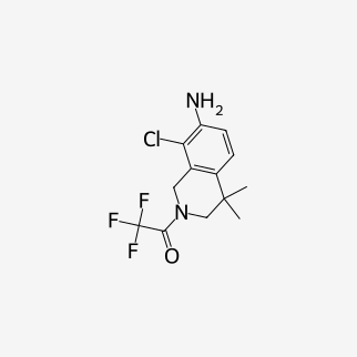 CC1(C)CN(C(=O)C(F)(F)F)Cc2c1ccc(N)c2Cl